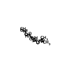 CO[C@H]1C[C@@](F)(c2cccc(C(=O)NCC(=O)Nc3nc(-c4cccc(N5C[C@@H](C)O[C@@H](C)C5)n4)cs3)c2)C1